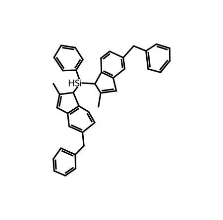 CC1=Cc2cc(Cc3ccccc3)ccc2C1[SiH](c1ccccc1)C1C(C)=Cc2cc(Cc3ccccc3)ccc21